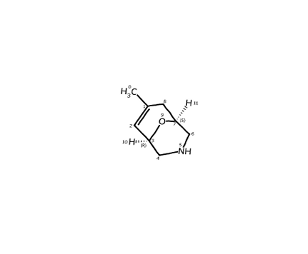 CC1=C[C@@H]2CNC[C@H](C1)O2